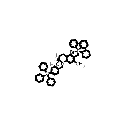 Cc1cc2c(cc1CP(Br)(c1ccccc1)(c1ccccc1)c1ccccc1)CCC(C)(C)N2Cc1ccc([Si](c2ccccc2)(c2ccccc2)c2ccccc2)cc1